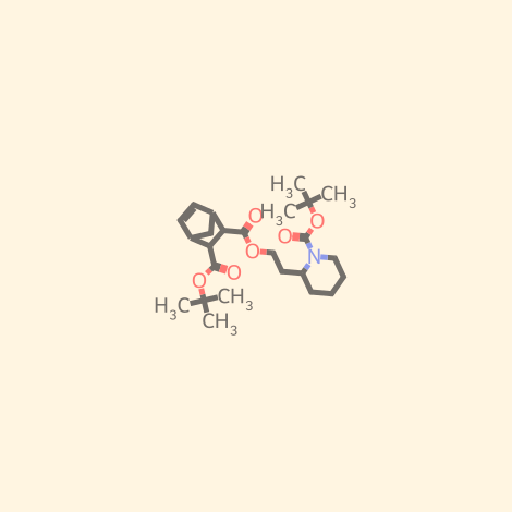 CC(C)(C)OC(=O)C1C2C=CC(C2)C1C(=O)OCCC1CCCCN1C(=O)OC(C)(C)C